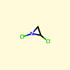 ClC1CN1Cl